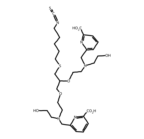 O=C(O)c1cccc(CN(CCO)CCOCC(CSCCCCCN=C=S)OCCN(CCO)Cc2cccc(C(=O)O)n2)n1